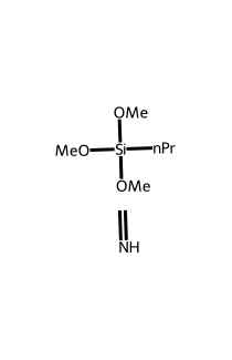 C=N.CCC[Si](OC)(OC)OC